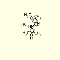 CCOc1cc2c(Nc3cc(C)c(O)c(C)c3)ccnc2nc1C.Cl